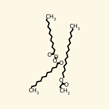 C=CC(=O)OCCCCCCCCCCCCCCCC.CCCCCCCCCCCC(=O)OOC(=O)CCCCCCCCCCC